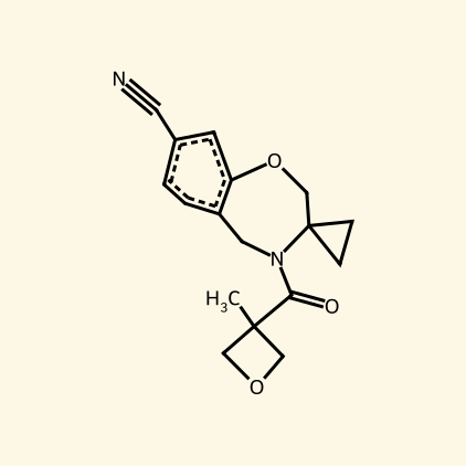 CC1(C(=O)N2Cc3ccc(C#N)cc3OCC23CC3)COC1